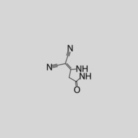 N#CC(C#N)=C1CC(=O)NN1